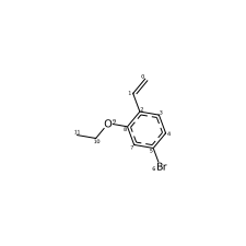 C=Cc1ccc(Br)cc1OCC